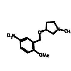 COc1ccc([N+](=O)[O-])cc1CO[C@H]1CCN(C)C1